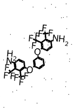 Nc1ccc(Oc2cccc(Oc3ccc(N)c(C(F)(F)F)c3C(F)(F)F)c2)c(C(F)(F)F)c1C(F)(F)F